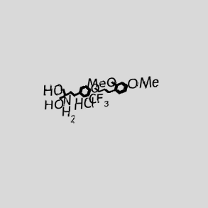 COc1ccc(CCCOc2ccc(CCC(N)(CO)CO)cc2C(F)(F)F)c(OC)c1.Cl